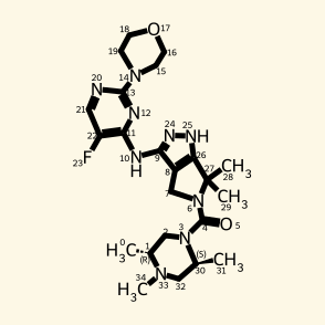 C[C@@H]1CN(C(=O)N2Cc3c(Nc4nc(N5CCOCC5)ncc4F)n[nH]c3C2(C)C)[C@@H](C)CN1C